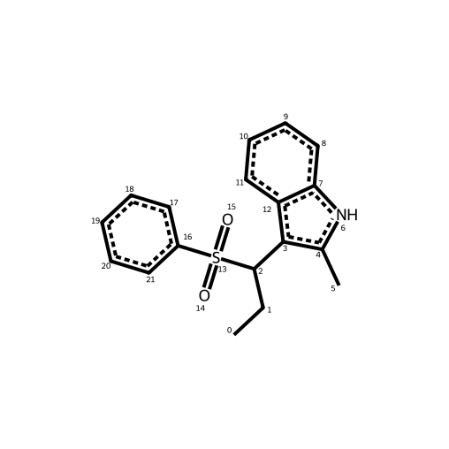 CCC(c1c(C)[nH]c2ccccc12)S(=O)(=O)c1ccccc1